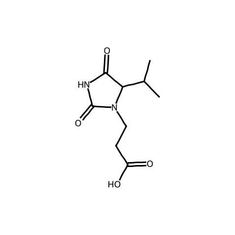 CC(C)C1C(=O)NC(=O)N1CCC(=O)O